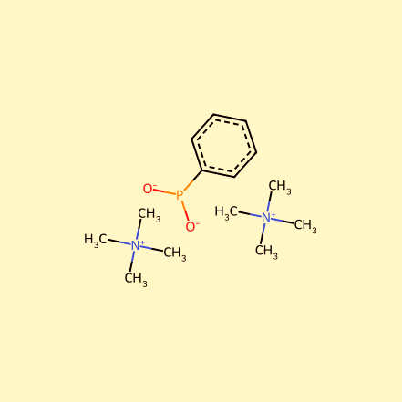 C[N+](C)(C)C.C[N+](C)(C)C.[O-]P([O-])c1ccccc1